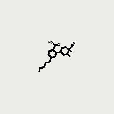 CC=CCCc1ccc(C(=O)O)c(C2=CC(F)C(F)(C#N)C=C2)c1